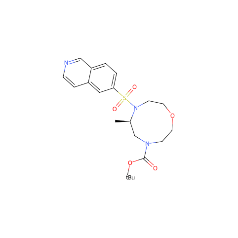 C[C@@H]1CN(C(=O)OC(C)(C)C)CCOCCN1S(=O)(=O)c1ccc2cnccc2c1